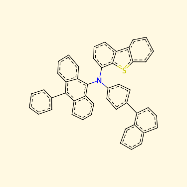 c1ccc(-c2c3ccccc3c(N(c3ccc(-c4cccc5ccccc45)cc3)c3cccc4c3sc3ccccc34)c3ccccc23)cc1